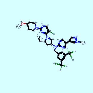 CC[C@@H]1C[C@H](N(Cc2cc(C(F)(F)F)cc(C(F)(F)F)c2)c2ncc(-c3cnn(C)c3)cn2)CN1c1nc(N2CCC(OC)CC2)ncc1Cl